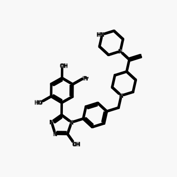 C=C(C1CCN(Cc2ccc(-n3c(O)nnc3-c3cc(C(C)C)c(O)cc3O)cc2)CC1)N1CCNCC1